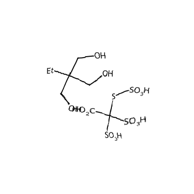 CCC(CO)(CO)CO.O=C(O)C(SS(=O)(=O)O)(S(=O)(=O)O)S(=O)(=O)O